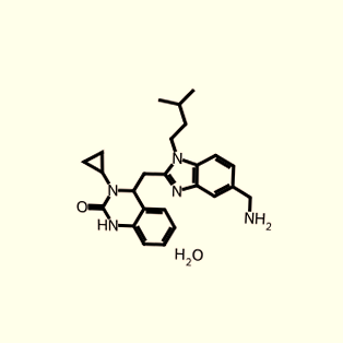 CC(C)CCn1c(CC2c3ccccc3NC(=O)N2C2CC2)nc2cc(CN)ccc21.O